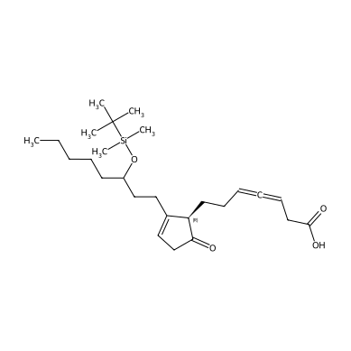 CCCCCC(CCC1=CCC(=O)[C@@H]1CCC=C=CCC(=O)O)O[Si](C)(C)C(C)(C)C